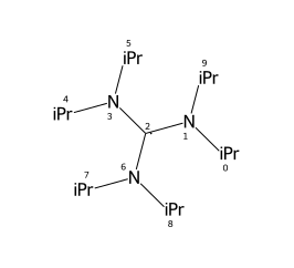 CC(C)N([C](N(C(C)C)C(C)C)N(C(C)C)C(C)C)C(C)C